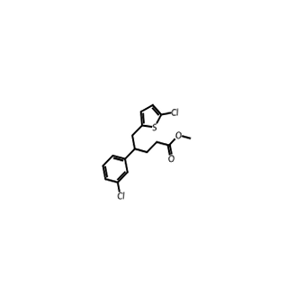 COC(=O)CCC(Cc1ccc(Cl)s1)c1cccc(Cl)c1